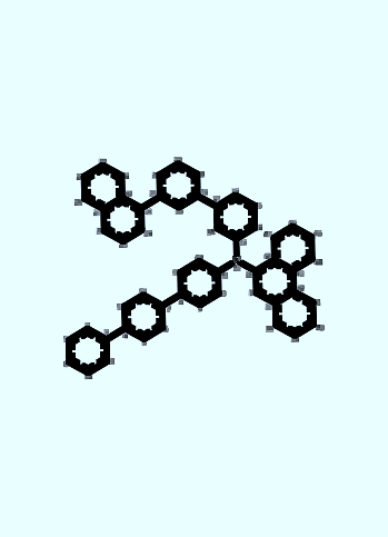 c1ccc(-c2ccc(-c3ccc(N(c4cccc(-c5cccc(-c6cccc7ccccc67)c5)c4)c4cc5ccccc5c5ccccc45)cc3)cc2)cc1